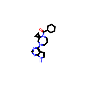 O=C(C1CCCCC1)N1CCCN(c2ncnc3[nH]ccc23)CC12CC2